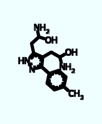 Cc1ccc(-c2n[nH]c(CC(N)O)c2CC(N)O)cc1